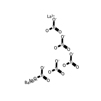 [Ba+2].[La+3].[Nb+5].[O]=[Ti]([O-])[O-].[O]=[Ti]([O-])[O-].[O]=[Ti]([O-])[O-].[O]=[Ti]([O-])[O-].[O]=[Ti]([O-])[O-]